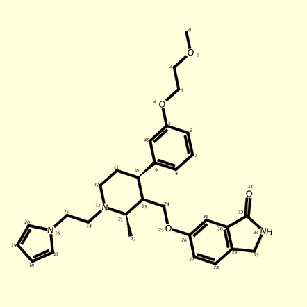 COCCOc1cccc([C@@H]2CCN(CCn3cccc3)[C@H](C)C2COc2ccc3c(c2)C(=O)NC3)c1